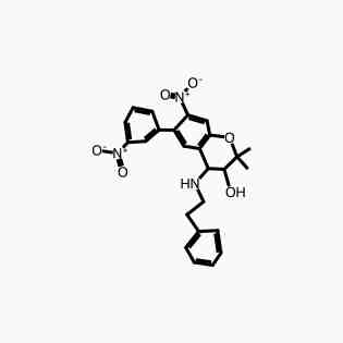 CC1(C)Oc2cc([N+](=O)[O-])c(-c3cccc([N+](=O)[O-])c3)cc2C(NCCc2ccccc2)C1O